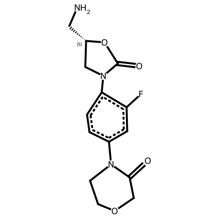 NC[C@H]1CN(c2ccc(N3CCOCC3=O)cc2F)C(=O)O1